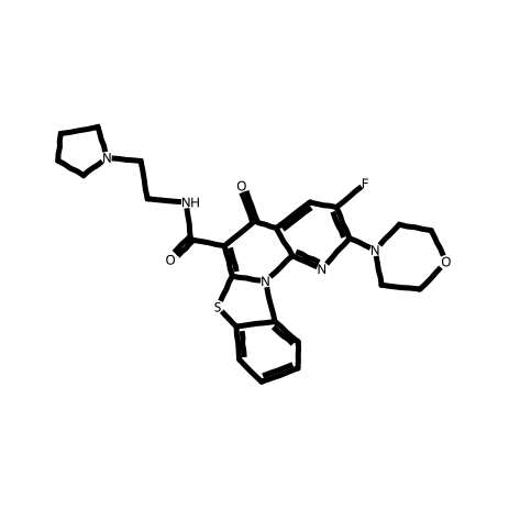 O=C(NCCN1CCCC1)c1c(=O)c2cc(F)c(N3CCOCC3)nc2n2c1sc1ccccc12